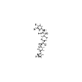 N=C(Nc1ccc(F)c(Br)c1)C(=O)C1CCN(C(=O)Nc2ccc(-c3cc[nH]n3)cc2)CC1